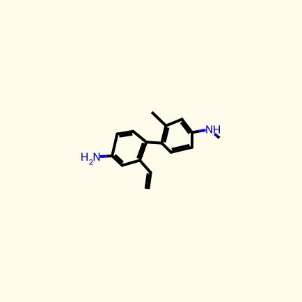 C=Cc1cc(N)ccc1-c1ccc(NC)cc1C